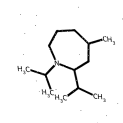 CC1CCCN(C(C)C)C(C(C)C)C1